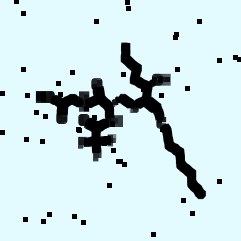 CCCCCCCCC=C(SC[C@H](NC(=O)C(F)(F)F)C(=O)NCC(=O)O)[C@@H](O)CCCC